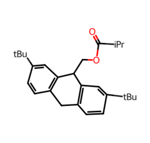 CC(C)C(=O)OCC1c2cc(C(C)(C)C)ccc2Cc2ccc(C(C)(C)C)cc21